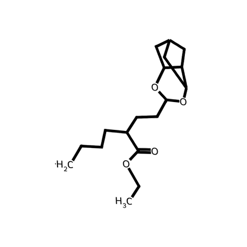 [CH2]CCCC(CC[C]1OC2CC3CC(O1)C2C3)C(=O)OCC